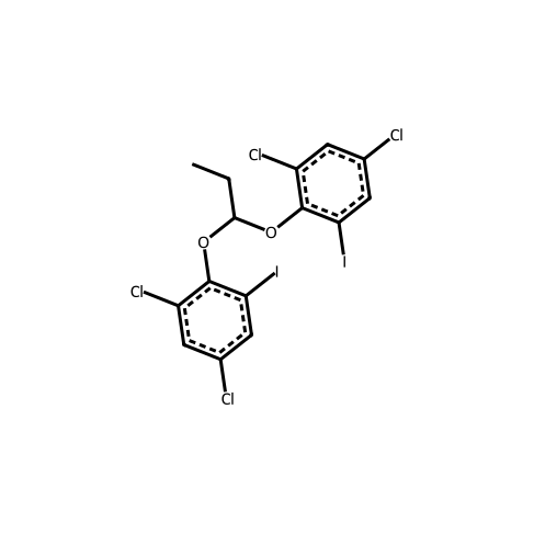 CCC(Oc1c(Cl)cc(Cl)cc1I)Oc1c(Cl)cc(Cl)cc1I